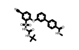 CNC(=O)c1ccc(-c2cccc(Oc3ccc(C#N)cc3S(=O)(=O)NC(=O)NC(C)(C)C)c2)cc1